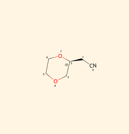 N#CC[C@H]1COCCO1